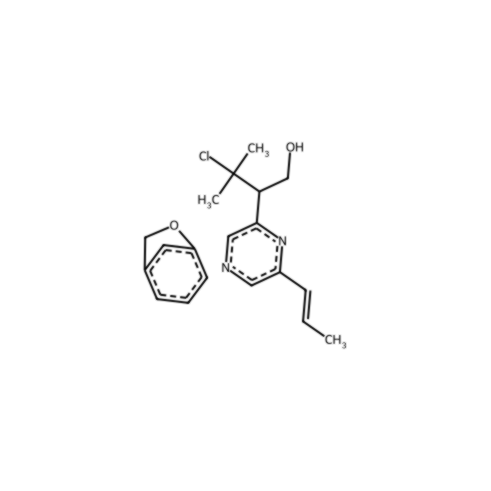 CC=Cc1cncc(C(CO)C(C)(C)Cl)n1.c1cc2cc(c1)OC2